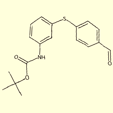 CC(C)(C)OC(=O)Nc1cccc(Sc2ccc(C=O)cc2)c1